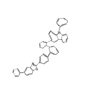 c1ccc(-c2ccc3oc(-c4ccc(-c5ccccc5-c5ccccc5-c5ccc6c(c5)c5ccccc5n6-c5ccccc5)cc4)nc3c2)cc1